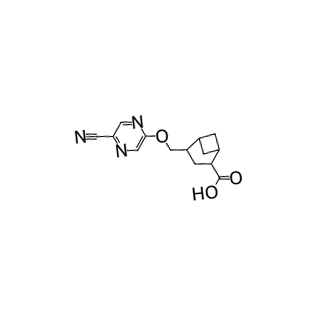 N#Cc1cnc(OCC2CC(C(=O)O)C3CC2C3)cn1